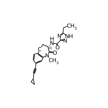 CCc1nc(C(=O)N[C@H]2CCc3ccc(C#CC4CC4)cc3N(C)C2=O)n[nH]1